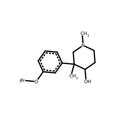 CC(C)Oc1cccc(C2(C)CN(C)CCC2O)c1